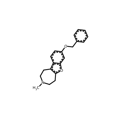 CN1CCc2oc3cc(OCc4ccccc4)ccc3c2CC1